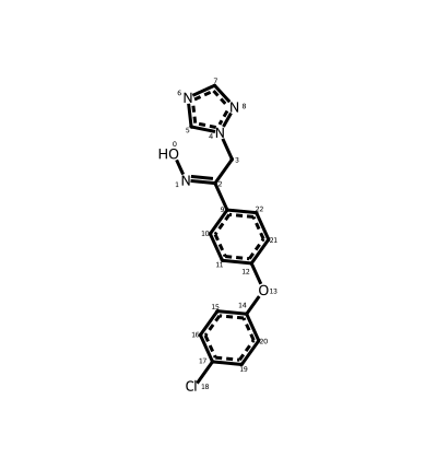 ON=C(Cn1cncn1)c1ccc(Oc2ccc(Cl)cc2)cc1